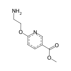 COC(=O)c1ccc(OCCN)nc1